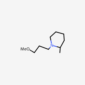 COCCCN1CCCCC1C